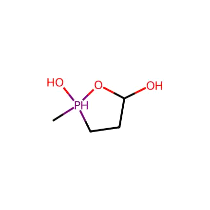 C[PH]1(O)CCC(O)O1